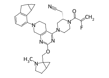 C=C(F)C(=O)N1CCN(c2nc(OCC34CC3CCN4C)nc3c2CCN(c2cccc4c2C2CC2C4)C3)C[C@@H]1CC#N